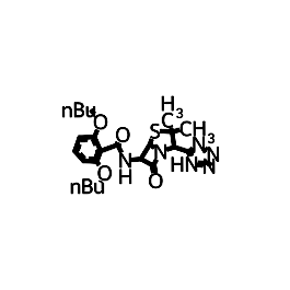 CCCCOc1cccc(OCCCC)c1C(=O)NC1C(=O)N2C1SC(C)(C)C2c1nnn[nH]1